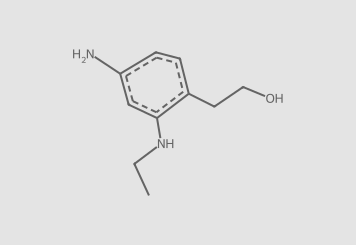 CCNc1cc(N)ccc1CCO